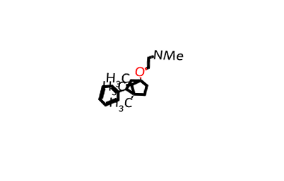 CNCCO[C@@]12CC[C@@](C)([C@@H](c3ccccc3)C1)C2(C)C